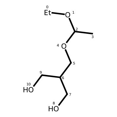 CCOC(C)OCC(CO)CO